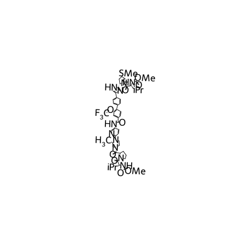 COC(=O)N[C@H](C(=O)N1CCCC1C(=O)N1CCN(c2ccc(NC(=O)c3ccc(-c4ccc(-c5c[nH]c([C@@H]6C[C@H](SC)CN6C(=O)[C@@H](NC(=O)OC)C(C)C)n5)cc4)c(OC(F)(F)F)c3)cn2)[C@H](C)C1)C(C)C